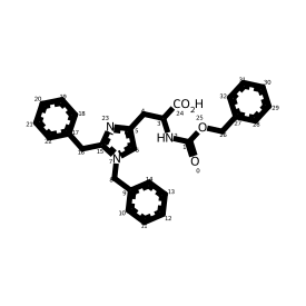 O=C(NC(Cc1cn(Cc2ccccc2)c(Cc2ccccc2)n1)C(=O)O)OCc1ccccc1